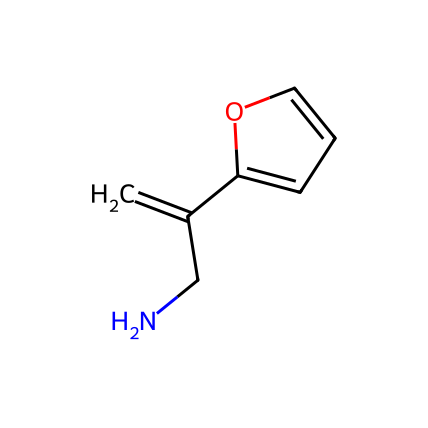 C=C(CN)c1ccco1